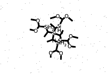 COC(OC)[SiH2]C(C)[Si](C(C)[SiH2]C(OC)OC)(C(C)[SiH2]C(OC)OC)C(C)[SiH2]C(OC)OC